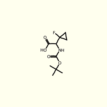 CC(C)(C)OC(=O)NC(C(=O)O)C1(F)CC1